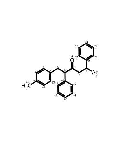 CC(=O)C(CC(=O)C(Cc1ccc(C)cc1)c1ccccc1)c1ccccc1